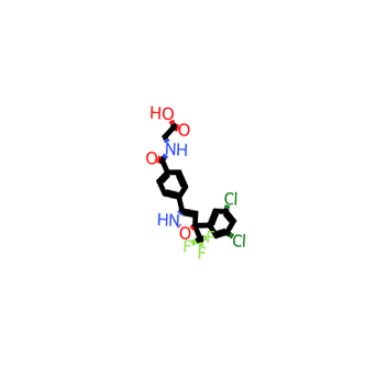 O=C(O)CNC(=O)c1ccc(C2=CC(c3cc(Cl)cc(Cl)c3)(C(F)(F)F)ON2)cc1